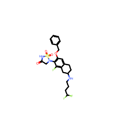 O=C1CN(c2c(OCc3ccccc3)cc3c(c2F)CC(NCCCC(F)F)CC3)S(=O)(=O)N1